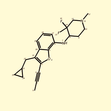 CC#Cc1oc2c(NC3CCN(C)CC3(F)F)cccc2c1CC1CC1